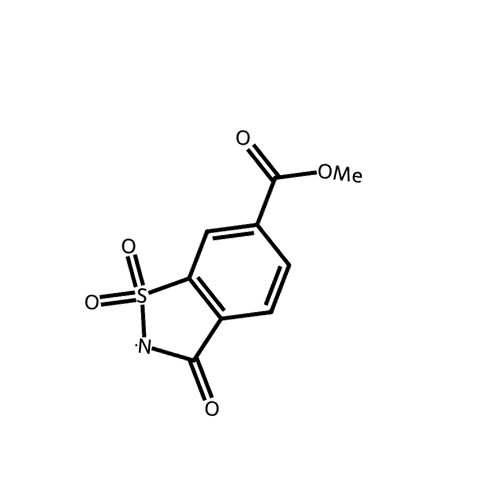 COC(=O)c1ccc2c(c1)S(=O)(=O)[N]C2=O